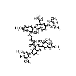 CNC(=O)c1nc(-c2cc3cn(C)nc3c(CCCNC(=O)c3nc(-c4cc5cn(C)nc5c(C)c4O)nc4ccc(N5C[C@@H](C)N[C@@H](C)C5)cc34)c2O)nc2ccc(N3CC(C)NC(C)C3)nc12